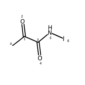 CC(=O)C(=O)NI